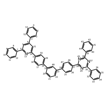 c1ccc(-c2cc(-c3ccccc3)nc(-c3ccc(-c4cccc(-c5ccc(-c6nc(-c7ccccc7)nc(-c7ccccc7)n6)cc5)c4)cc3)c2)cc1